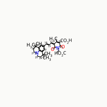 CC1=C(C(=O)O)C(=O)N(CC(=O)O)C(=O)/C1=C\C=C\c1cc2c3c(c1)C(C)(C)CCN3CCC2(C)C